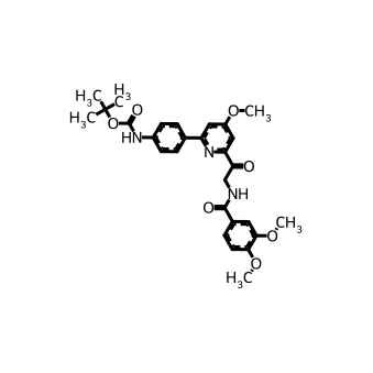 COc1cc(C(=O)CNC(=O)c2ccc(OC)c(OC)c2)nc(-c2ccc(NC(=O)OC(C)(C)C)cc2)c1